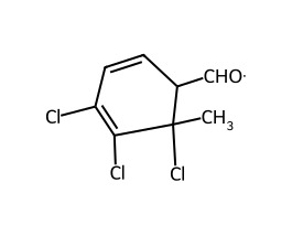 CC1(Cl)C(Cl)=C(Cl)C=CC1[C]=O